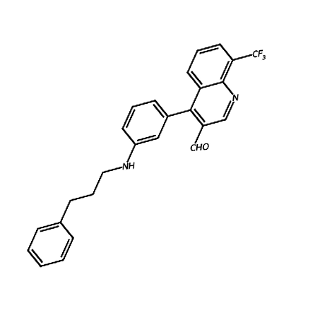 O=Cc1cnc2c(C(F)(F)F)cccc2c1-c1cccc(NCCCc2ccccc2)c1